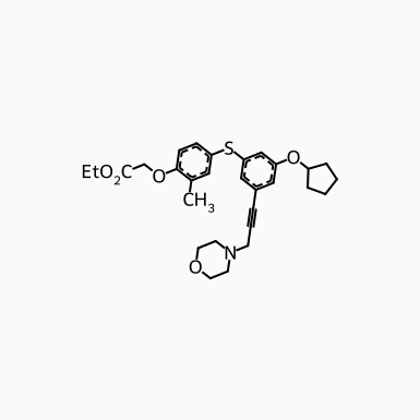 CCOC(=O)COc1ccc(Sc2cc(C#CCN3CCOCC3)cc(OC3CCCC3)c2)cc1C